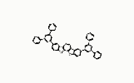 c1ccc(-c2cc(-c3ccccc3)cc(-c3ccc4oc5c(ccc6c7cc(-c8cc(-c9ccccc9)cc(-c9ccccc9)c8)ccc7oc65)c4c3)c2)cc1